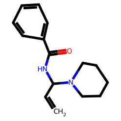 C=CC(NC(=O)c1ccccc1)N1CCCCC1